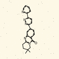 CC1(C)CCc2nc3cc(-c4ccc(-c5ccccn5)nn4)ccc3c(=O)n2C1